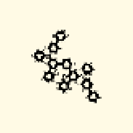 c1ccc(-c2ccc(N(c3ccccc3)c3cc(-c4cccc(-c5cc(N(c6ccccc6)c6ccc(-c7ccccc7)cc6)cc6c5sc5ccccc56)c4)c4sc5ccccc5c4c3)cc2)cc1